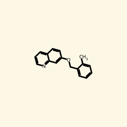 Cc1ccccc1COc1ccc2cccnc2c1